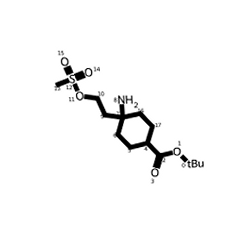 CC(C)(C)OC(=O)C1CCC(N)(CCOS(C)(=O)=O)CC1